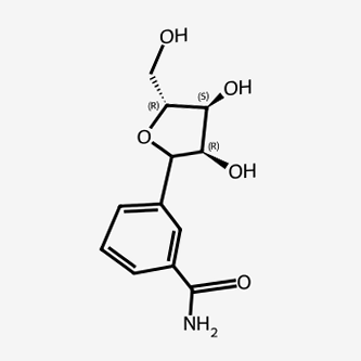 NC(=O)c1cccc(C2O[C@H](CO)[C@@H](O)[C@H]2O)c1